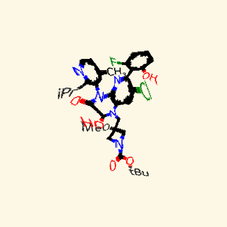 COC1(CN2c3cc(Cl)c(-c4c(O)cccc4F)nc3N(c3c(C)ccnc3C(C)C)C(=O)C2O)CN(C(=O)OC(C)(C)C)C1